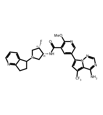 COc1ncc(-c2cc(C(F)(F)F)c3c(N)ncnn23)cc1C(=O)N[C@@H]1CN(C2CCc3ncccc32)C[C@@H]1F